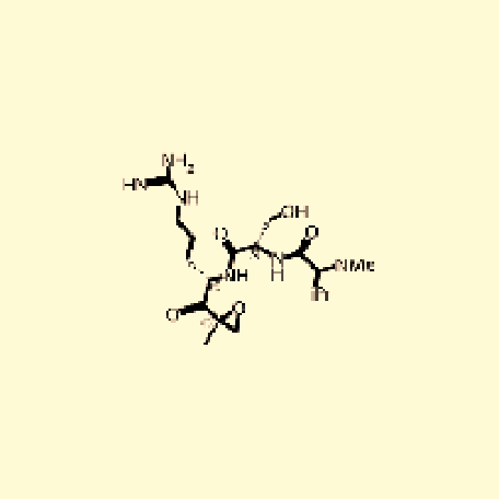 CNC(C(=O)N[C@@H](CO)C(=O)N[C@@H](CCCNC(=N)N)C(=O)[C@@]1(C)CO1)C(C)C